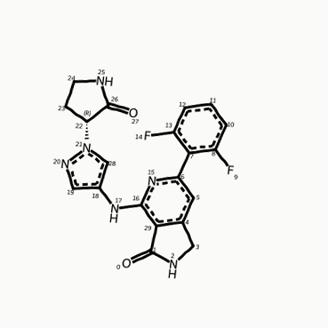 O=C1NCc2cc(-c3c(F)cccc3F)nc(Nc3cnn([C@@H]4CCNC4=O)c3)c21